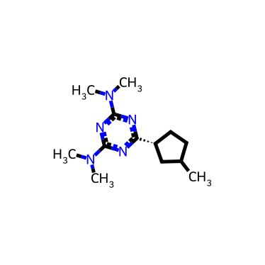 CC1CC[C@@H](c2nc(N(C)C)nc(N(C)C)n2)C1